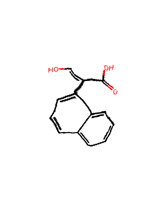 O=C(O)/C(=C/O)c1cccc2ccccc12